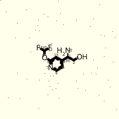 N[C@@H](CO)c1ccnc(OC(F)F)c1